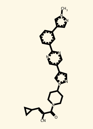 Cn1cc(-c2cccc(-c3ncc(-c4cnn(C5CCN(C(=O)C(C#N)=CC6CC6)CC5)c4)cn3)c2)cn1